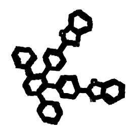 c1ccc(-c2ccc(-c3ccccc3)c(-c3ccc(-c4nc5ccccc5o4)cc3)c2-c2ccc(-c3nc4ccccc4o3)cc2)cc1